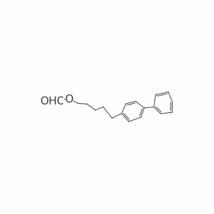 O=COCCCCCc1ccc(-c2ccccc2)cc1